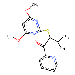 COc1cc(OC)nc(SC(C(=O)c2ccccn2)C(C)C)n1